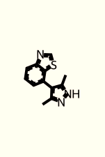 Cc1n[nH]c(C)c1-c1cccc2ncsc12